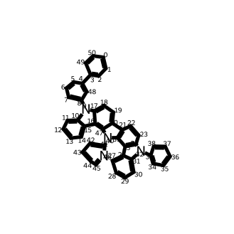 c1ccc(-c2cccc(-n3c4ccccc4c4c3ccc3c5ccc6c(c7ccccc7n6-c6ccccc6)c5n(-c5ccccn5)c34)c2)cc1